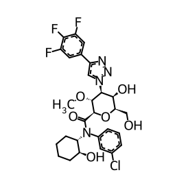 CO[C@@H]1[C@@H](n2cc(-c3cc(F)c(F)c(F)c3)nn2)[C@@H](O)[C@@H](CO)O[C@H]1C(=O)N(c1cccc(Cl)c1)[C@H]1CCCC[C@@H]1O